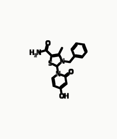 CC1=C(C(N)=O)SC(n2ccc(O)cc2=O)N1Cc1ccccc1